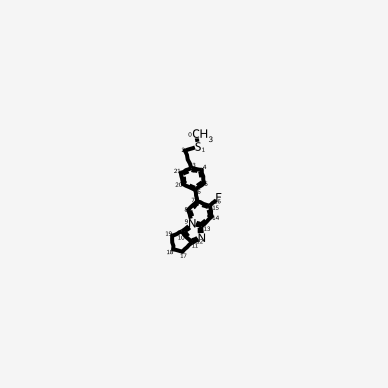 CSCc1ccc(-c2cn3c4c(nc3cc2F)CCC4)cc1